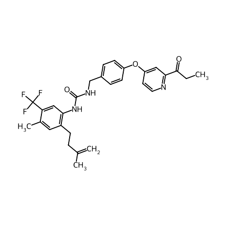 C=C(C)CCc1cc(C)c(C(F)(F)F)cc1NC(=O)NCc1ccc(Oc2ccnc(C(=O)CC)c2)cc1